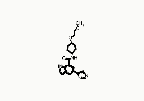 COCCO[C@H]1CC[C@H](NC(=O)c2cc(-c3cncs3)cc3cc[nH]c23)CC1